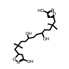 CC(C)(CCC(O)CCC(O)CCC(C)(C)CC1CC(O)=NO1)Cc1cc(O)no1